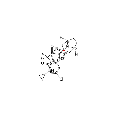 O=C(NC1CC1)c1ccc(N2[C@@H]3CC[C@H]2C[C@@H](NC(=O)C2(c4ccc(Cl)cc4Cl)CC2)C3)nc1